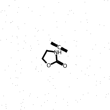 C=C=C.O=C1NCCO1